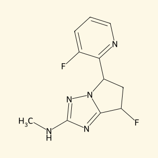 CNc1nc2n(n1)C(c1ncccc1F)CC2F